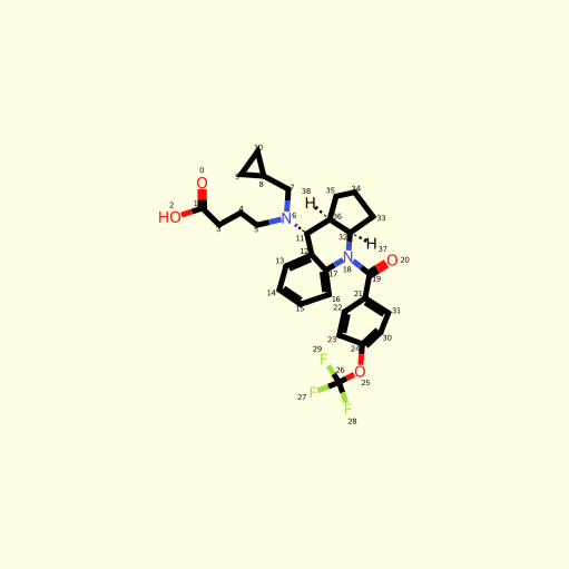 O=C(O)CCCN(CC1CC1)[C@H]1c2ccccc2N(C(=O)c2ccc(OC(F)(F)F)cc2)[C@@H]2CCC[C@@H]21